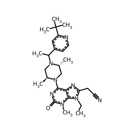 CCn1c(CC#N)nc2c(N3C[C@@H](C)N(C(C)c4ccnc(C(C)(C)C)c4)C[C@@H]3C)nc(=O)n(C)c21